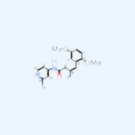 COc1ccc(OC)c(/C=C(/C)CC(=O)Nc2ccnc(C)c2)c1